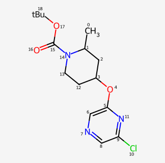 CC1CC(Oc2cncc(Cl)n2)CCN1C(=O)OC(C)(C)C